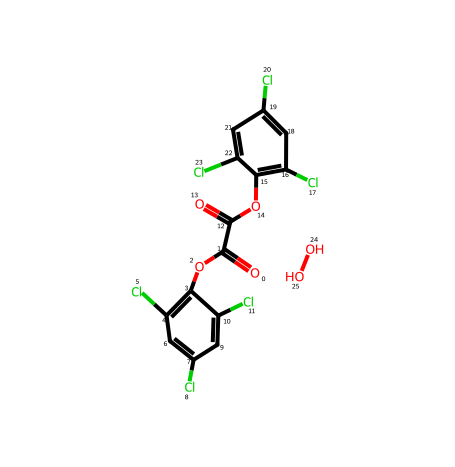 O=C(Oc1c(Cl)cc(Cl)cc1Cl)C(=O)Oc1c(Cl)cc(Cl)cc1Cl.OO